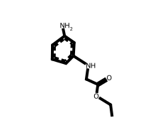 CCOC(=O)CNc1cccc(N)c1